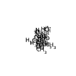 COC(=O)[C@@H](C)N(C)B(OC(=O)C(C)C)[C@H](CC(C)C)NC(=O)[C@H](Cc1ccccc1)NC(=O)c1cnccn1